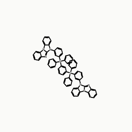 c1ccc([Si](c2ccccc2)(c2cccc(-n3c4ccccc4n4c5ccccc5nc34)c2)c2cccc([Si](c3ccccc3)(c3ccccc3)c3cccc(-n4c5ccccc5n5c6ccccc6nc45)c3)c2)cc1